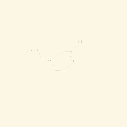 Cc1[c]ccc(CC(=O)O)c1